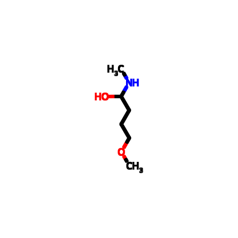 CNC(O)CCCOC